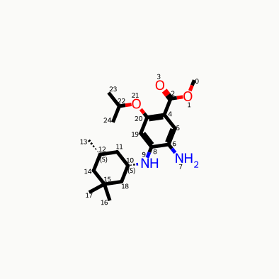 COC(=O)c1cc(N)c(N[C@H]2C[C@@H](C)CC(C)(C)C2)cc1OC(C)C